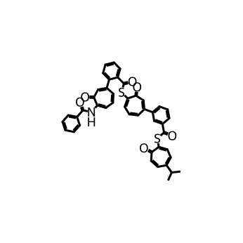 CC(C)c1ccc(SC(=O)c2cccc(-c3cccc(SC(=O)c4ccccc4-c4cccc(NC(=O)c5ccccc5)c(=O)c4)c(=O)c3)c2)c(=O)cc1